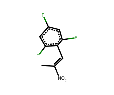 CC(=Cc1c(F)cc(F)cc1F)[N+](=O)[O-]